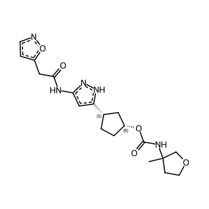 CC1(NC(=O)O[C@@H]2CC[C@H](c3cc(NC(=O)Cc4ccno4)n[nH]3)C2)CCOC1